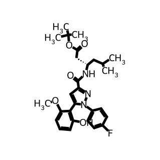 COc1cccc(O)c1-c1cc(C(=O)N[C@H](CC(=O)OC(C)(C)C)CC(C)C)nn1-c1ccc(F)cc1